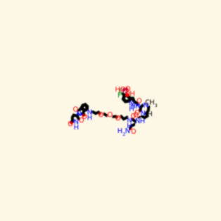 CN1CC[C@H]2CC[C@@H](C(=O)N[C@@H](CCC(N)=O)C(=O)NCCCOCCOCCOCCCNc3cccc4c3C(=O)N(C3CCC(=O)NC3=O)C4=O)N2C(=O)[C@@H](NC(=O)c2cc3cc(C(F)(F)P(=O)(O)O)ccc3[nH]2)C1